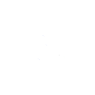 CNc1cncc(C(F)(F)F)c1.c1ccncc1